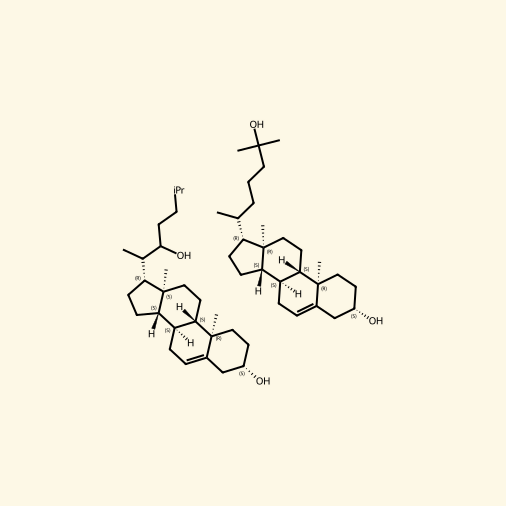 CC(C)CCC(O)C(C)[C@H]1CC[C@H]2[C@@H]3CC=C4C[C@@H](O)CC[C@]4(C)[C@H]3CC[C@]12C.CC(CCCC(C)(C)O)[C@H]1CC[C@H]2[C@@H]3CC=C4C[C@@H](O)CC[C@]4(C)[C@H]3CC[C@]12C